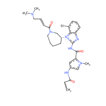 C=CC(=O)Nc1cc(C(=O)Nc2nc3cccc(CC)c3n2[C@@H]2CCCCN(C(=O)/C=C/CN(C)C)C2)n(C)c1